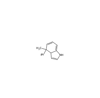 CC(C)C1(C)C=CC=C2NC=CC21